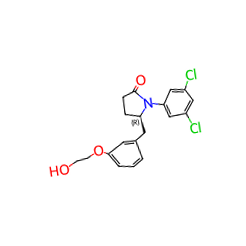 O=C1CC[C@H](Cc2cccc(OCCO)c2)N1c1cc(Cl)cc(Cl)c1